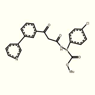 CC(C)(C)OC(=O)N(NC(=O)CC(=O)c1cccc(-c2cccnc2)c1)c1ccc(Cl)cc1